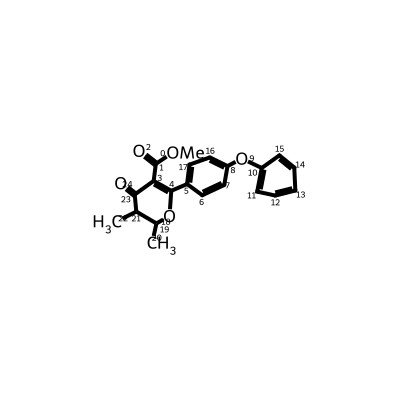 COC(=O)C1=C(c2ccc(Oc3ccccc3)cc2)OC(C)C(C)C1=O